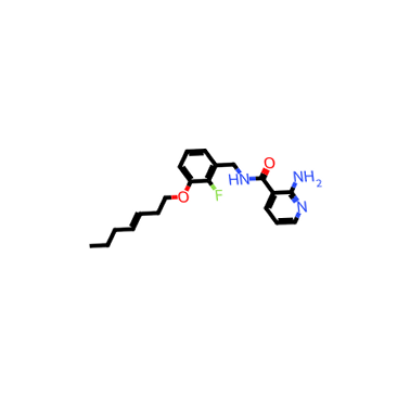 CCC/C=C/CCOc1cccc(CNC(=O)c2cccnc2N)c1F